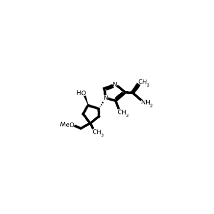 C=C(N)c1ncn([C@@H]2CC(C)(COC)C[C@H]2O)c1C